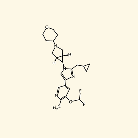 Nc1ncc(-c2cn([C@H]3[C@@H]4CN(C5CCOCC5)C[C@@H]43)c(CC3CC3)n2)cc1OC(F)F